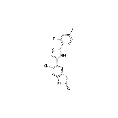 O=C1Cc2cc(C3=CSC(c4ccc(F)cc4F)N3)c(Cl)cc2N1